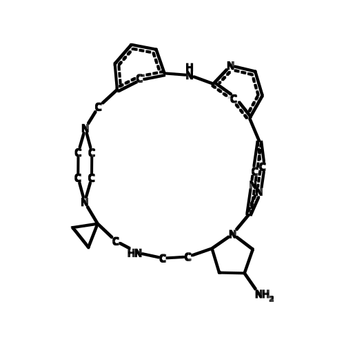 NC1CC2CCNCC3(CC3)N3CCN(CC3)Cc3cccc(c3)Nc3cc(ccn3)-c3cnc(nc3)N2C1